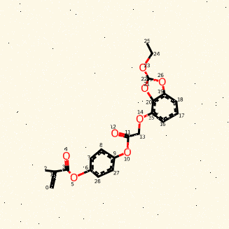 C=C(C)C(=O)Oc1ccc(OC(=O)COc2cccc3c2OC(OCC)O3)cc1